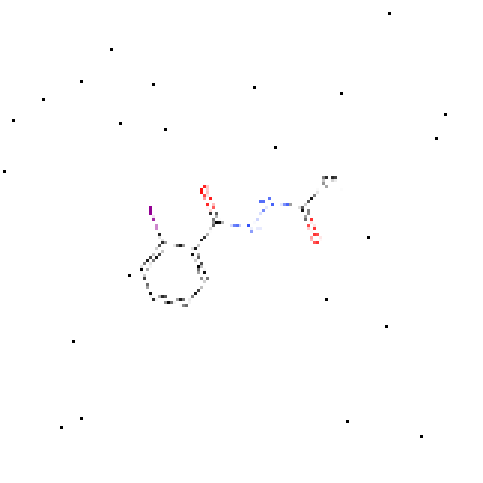 O=C(NNC(=O)C(F)(F)F)c1ccccc1I